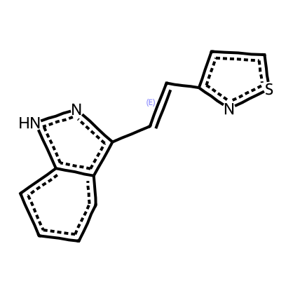 C(=C\c1n[nH]c2ccccc12)/c1ccsn1